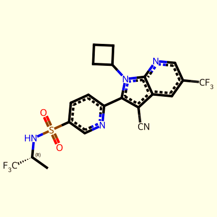 C[C@@H](NS(=O)(=O)c1ccc(-c2c(C#N)c3cc(C(F)(F)F)cnc3n2C2CCC2)nc1)C(F)(F)F